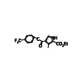 CCOC(=O)c1[nH]cc(C(=O)Cc2ccc(C(F)(F)F)cc2)c1C